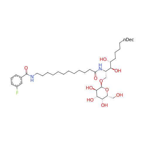 CCCCCCCCCCCCCC[C@@H](O)[C@@H](O)[C@H](CO[C@H]1O[C@H](CO)[C@H](O)[C@H](O)[C@H]1O)NC(=O)CCCCCCCCCCCNC(=O)c1cccc(F)c1